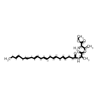 CCC=CCC=CCC=CCC=CCC=CCC=CCCC(=O)NC(C)C(=O)O[C@H](C)[C@H](N)C(=O)OC